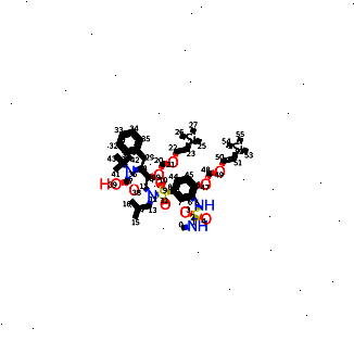 CNS(=O)(=O)Nc1cc(S(=O)(=O)N(CC(C)C)C[C@@H](OCOCC[Si](C)(C)C)[C@H](Cc2ccccc2)N(C(=O)O)C(C)(C)C)ccc1OCOCC[Si](C)(C)C